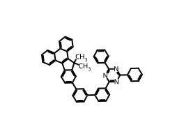 CC1(C)c2cc(-c3cccc(-c4cccc(-c5nc(C6=CC=CCC6)nc(-c6ccccc6)n5)c4)c3)ccc2-c2c1c1ccccc1c1ccccc21